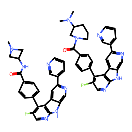 CN(C)C1CCCN(C(=O)c2ccc(-c3c(F)cnc4[nH]c5cnc(-c6cccnc6)cc5c34)cc2)C1.CN1CC(NC(=O)c2ccc(-c3c(F)cnc4[nH]c5cnc(-c6cccnc6)cc5c34)cc2)C1